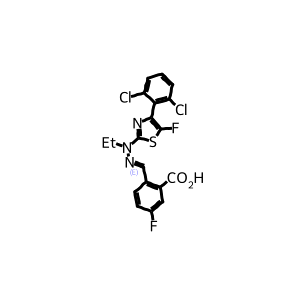 CCN(/N=C/c1ccc(F)cc1C(=O)O)c1nc(-c2c(Cl)cccc2Cl)c(F)s1